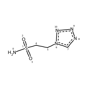 NS(=O)(=O)CCn1[c]nnn1